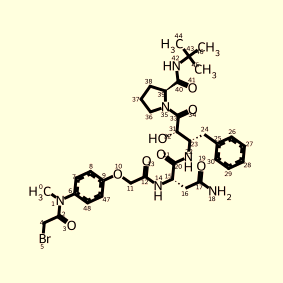 CN(C(=O)CBr)c1ccc(OCC(=O)N[C@@H](CC(N)=O)C(=O)N[C@@H](Cc2ccccc2)[C@H](O)C(=O)N2CCC[C@H]2C(=O)NC(C)(C)C)cc1